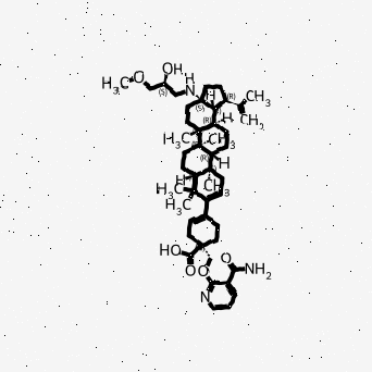 C=C(C)[C@@H]1CC[C@]2(NC[C@H](O)COC)CC[C@]3(C)[C@H](CC[C@@H]4[C@@]5(C)CC=C(C6=CC[C@](COc7ncccc7C(N)=O)(C(=O)O)CC6)C(C)(C)[C@@H]5CC[C@]43C)[C@@H]12